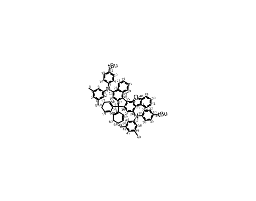 Cc1cc(C)cc(N(c2ccc(C(C)(C)C)cc2)c2cc3c(c4ccccc24)-c2c(cc(N(c4ccc(C(C)(C)C)cc4)c4cc(C)cc(C)c4)c4c2oc2ccccc24)C3(C2=CCCC=C2)C2=CCCC=C2)c1